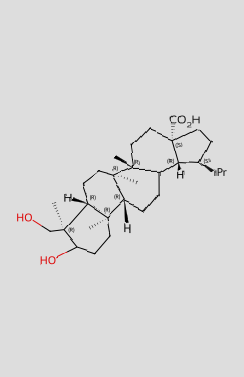 CC(C)[C@@H]1CC[C@]2(C(=O)O)CC[C@]3(C)C(CC[C@@H]4[C@@]5(C)CCC(O)[C@@](C)(CO)[C@@H]5CC[C@]43C)[C@@H]12